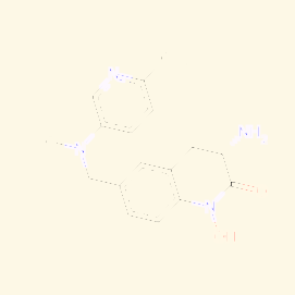 Cc1ccc(N(C)Cc2ccc3c(c2)C[C@H](N)C(=O)N3O)cn1